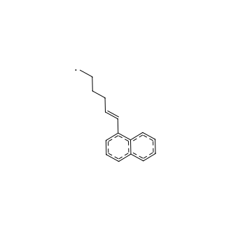 [CH2]CCCC=Cc1cccc2ccccc12